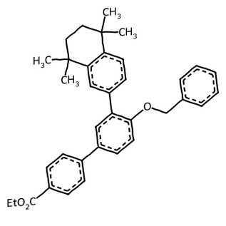 CCOC(=O)c1ccc(-c2ccc(OCc3ccccc3)c(-c3ccc4c(c3)C(C)(C)CCC4(C)C)c2)cc1